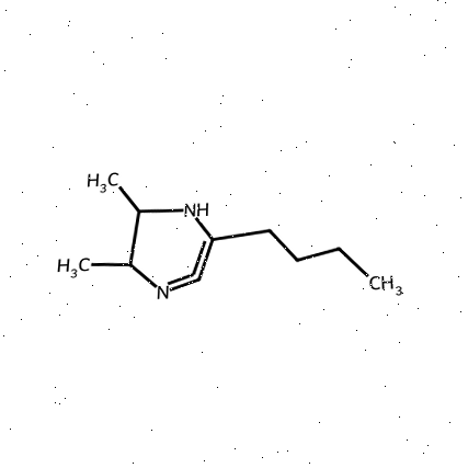 CCCCC1=C=NC(C)C(C)N1